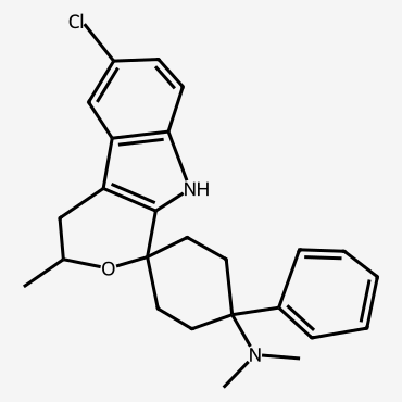 CC1Cc2c([nH]c3ccc(Cl)cc23)C2(CCC(c3ccccc3)(N(C)C)CC2)O1